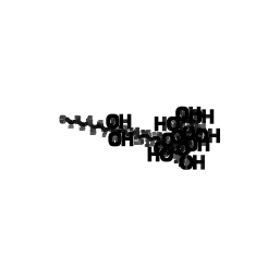 CCCCCCCCC(O)C(O)CCCCCCCC(=O)O[C@H]1[C@H](O)[C@@H](CO)O[C@@]1(CO)O[C@H]1O[C@H](CO)[C@@H](O)[C@H](O)[C@H]1O